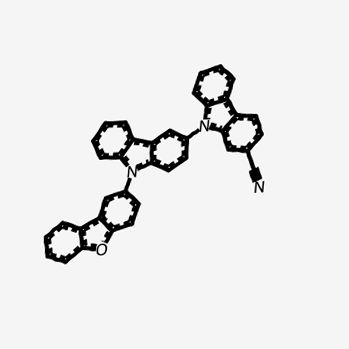 N#Cc1ccc2c3ccccc3n(-c3ccc4c(c3)c3ccccc3n4-c3ccc4oc5ccccc5c4c3)c2c1